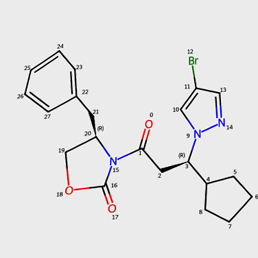 O=C(C[C@H](C1CCCC1)n1cc(Br)cn1)N1C(=O)OC[C@H]1Cc1ccccc1